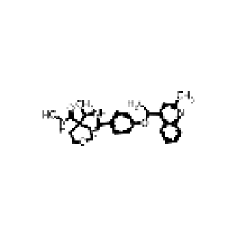 Cc1cc(C(C)Oc2ccc(C(=O)NC(C)C3(C(=O)NO)CCCCC3)cc2)c2ccccc2n1